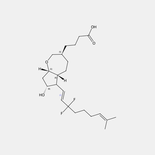 CC(C)=CCCCC(F)(F)/C=C/C1[C@H](O)C[C@@H]2OC[C@@H](CCCC(=O)O)CC[C@H]12